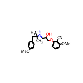 COc1ccc(CC(C)(C)NCC(O)COc2cccc(OC)c2C#N)cc1